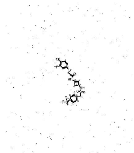 O=C(COc1ccc(Cl)c(F)c1)NC12CC(NS(=O)(=O)Cc3ccc(C(F)(F)F)cc3)(C1)C2